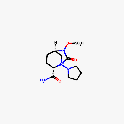 NC(=O)[C@@H]1CC[C@@H]2C[N+]1(N1CCCC1)C(=O)N2OS(=O)(=O)O